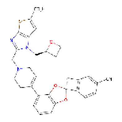 N#Cc1ccc2c(c1)C[C@@]21Oc2cccc(C3=CCN(Cc4nc5sc(C(=O)O)cc5n4C[C@@H]4CCO4)CC3)c2O1